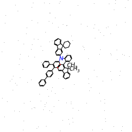 CC1(C)c2ccccc2-c2cccc(-c3ccccc3N(c3ccc(-c4ccc(-c5ccccc5)cc4)c(-c4ccccc4)c3)c3ccc4c(c3)C3(CCCCC3)c3ccccc3-4)c21